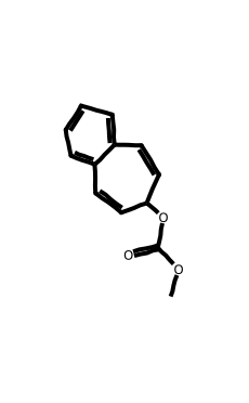 COC(=O)OC1C=Cc2ccccc2C=C1